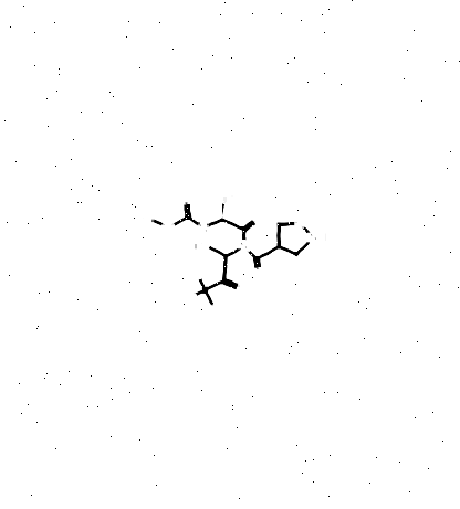 CC(C)C(C(=O)C(F)(F)C(F)(F)F)N(C(=O)C1CNSC1)C(=O)[C@@H](NC(=O)OC(C)(C)C)C(C)C